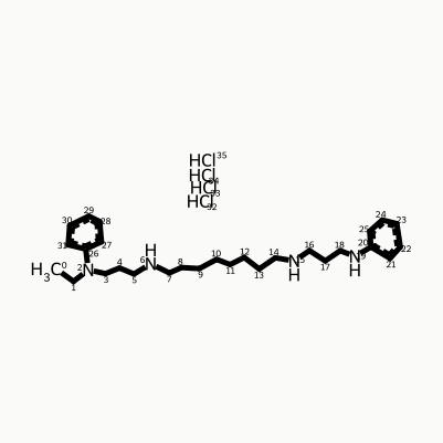 CCN(CCCNCCCCCCCCNCCCNc1ccccc1)c1ccccc1.Cl.Cl.Cl.Cl